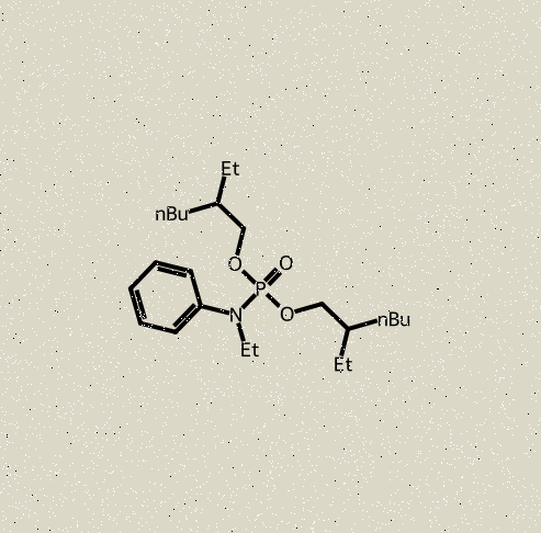 CCCCC(CC)COP(=O)(OCC(CC)CCCC)N(CC)c1ccccc1